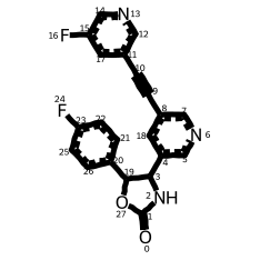 O=C1NC(c2cncc(C#Cc3cncc(F)c3)c2)C(c2ccc(F)cc2)O1